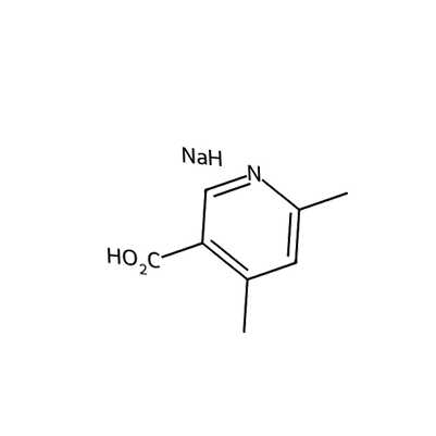 Cc1cc(C)c(C(=O)O)cn1.[NaH]